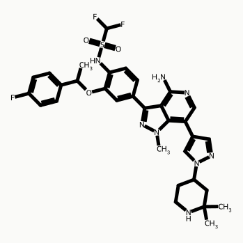 CC(Oc1cc(-c2nn(C)c3c(-c4cnn(C5CCNC(C)(C)C5)c4)cnc(N)c23)ccc1NS(=O)(=O)C(F)F)c1ccc(F)cc1